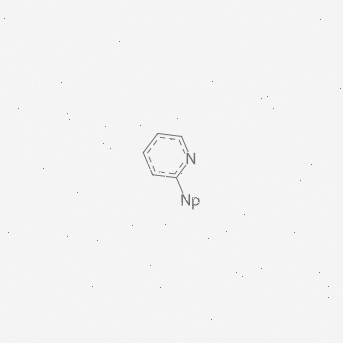 [Np][c]1ccccn1